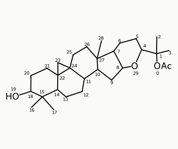 CC(=O)OC(C)(C)C1CCC2C(CC3C4CCC5C(C)(C)C(O)CCC56CC46CCC23C)O1